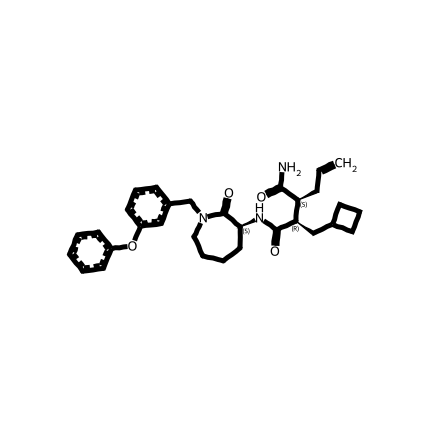 C=CC[C@H](C(N)=O)[C@@H](CC1CCC1)C(=O)N[C@H]1CCCCN(Cc2cccc(Oc3ccccc3)c2)C1=O